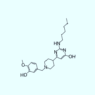 CCCCCCNc1nc(O)cc(C2CCN(Cc3ccc(OC)c(O)c3)CC2)n1